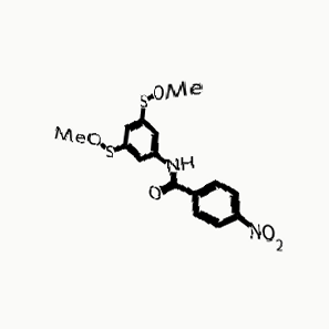 COSc1cc(NC(=O)c2ccc([N+](=O)[O-])cc2)cc(SOC)c1